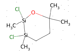 CC1(C)CC[Si](C)(Cl)[Si](C)(Cl)O1